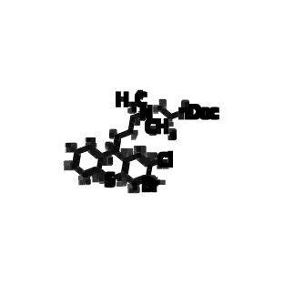 CCCCCCCCCCCC[N+](C)(C)CCC=C1c2ccccc2Sc2ccc(Cl)cc21.[Br-]